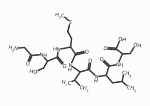 CSCCC(NC(=O)C(CO)NC(=O)CN)C(=O)NC(C(=O)NC(CC(C)C)C(=O)NC(CO)C(=O)O)C(C)C